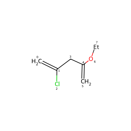 C=C(Cl)CC(=C)OCC